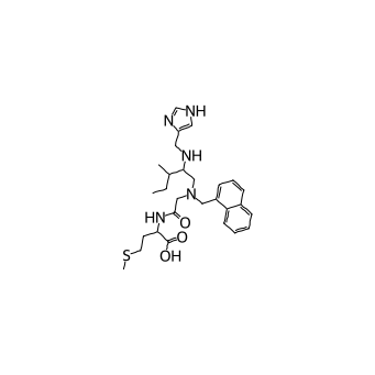 CCC(C)C(CN(CC(=O)NC(CCSC)C(=O)O)Cc1cccc2ccccc12)NCc1c[nH]cn1